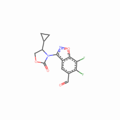 O=Cc1cc2c(N3C(=O)OCC3C3CC3)noc2c(F)c1F